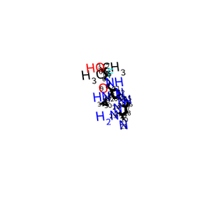 CC(C)(O)[C@H](F)CNC(=O)c1cnc(-n2ncc3cc(C#N)c(N)nc32)cc1NC1CC1